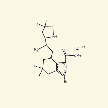 COC(=O)c1sc(Br)c2c1N(CC(N)C1CC(F)(F)CN1)CC(F)(F)C2.Cl.Cl